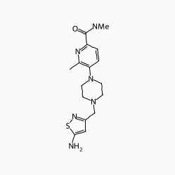 CNC(=O)c1ccc(N2CCN(Cc3cc(N)sn3)CC2)c(C)n1